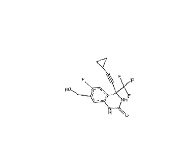 O=C1Nc2cc(CO)c(F)cc2C(C#CC2CC2)(C(F)(F)F)N1